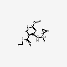 CCOC(=O)c1cnc(SC)nc1NN(C)C1CC1